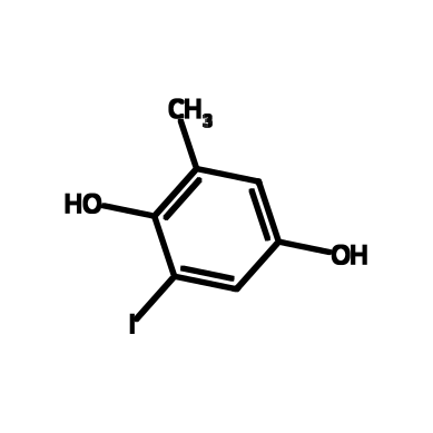 Cc1cc(O)cc(I)c1O